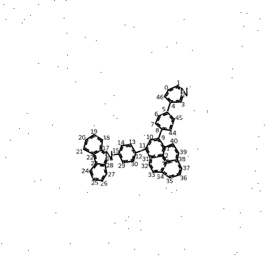 c1cncc(-c2ccc(-c3cc(-c4ccc(-n5c6ccccc6c6ccccc65)cc4)c4ccc5cccc6ccc3c4c65)cc2)c1